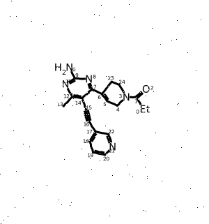 CCC(=O)N1CC=C(c2nc(N)nc(C)c2C#Cc2cccnc2)CC1